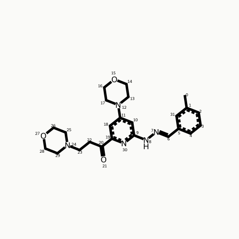 Cc1cccc(C=NNc2cc(N3CCOCC3)cc(C(=O)CCN3CCOCC3)n2)c1